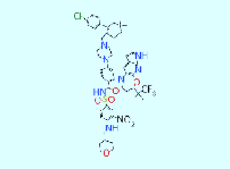 CC1(C)CCC(CN2CCN(c3ccc(C(=O)NS(=O)(=O)c4ccc(NCC5CCOCC5)c([N+](=O)[O-])c4)c(N4CCC(C(C)(C)C(F)(F)F)Oc5nc6[nH]ccc6cc54)c3)CC2)=C(c2ccc(Cl)cc2)C1